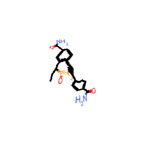 CCC([PH2]=O)c1cc(C(N)=O)ccc1C=Cc1ccc(C(N)=O)cc1